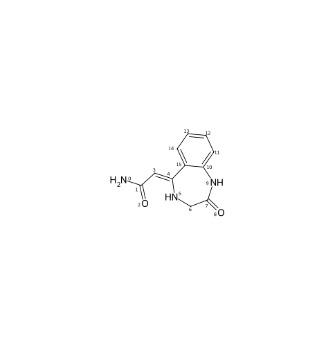 NC(=O)C=C1NCC(=O)Nc2ccccc21